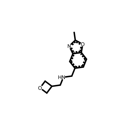 Cc1nc2cc(CNCC3COC3)ccc2o1